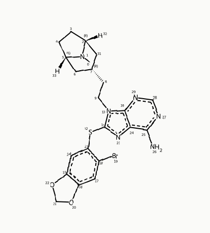 CN1[C@@H]2CC[C@H]1C[C@@H](CCn1c(Sc3cc4c(cc3Br)OCO4)nc3c(N)ncnc31)C2